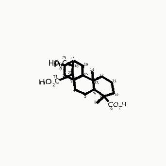 CC(C)C1CC23CCC4C(C)(C(=O)O)CCCC4(C)C2CC1C(C(=O)O)C3C(=O)O